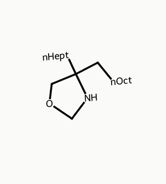 CCCCCCCCCC1(CCCCCCC)COCN1